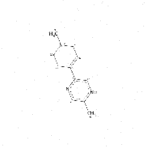 Cc1cnc(C2=CCN(C)CC2)cn1